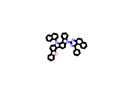 c1ccc(-c2nc(-n3c4ccccc4c4c3ccc3c5c6oc7ccccc7c6ccc5n(-c5cccc6ccccc56)c34)nc3ccc4ccccc4c23)cc1